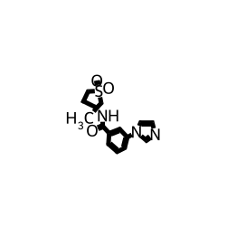 CC1(NC(=O)c2cccc(-n3ccnc3)c2)CCS(=O)(=O)C1